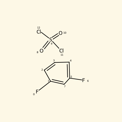 Fc1cccc(F)c1.O=S(=O)(Cl)Cl